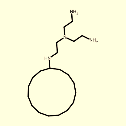 NCCN(CCN)CCNC1CCCCCCCCCCCCCC1